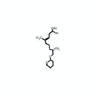 CC(=O)OC(CC=C(C)CCC[C@H](C)COC1CCCCO1)C(C)=O